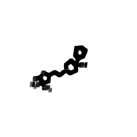 CC1(C)CC(CCN2CCC(O)(c3ccccc3)CC2)OC1=O